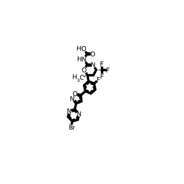 C[C@@]1(c2cc(-c3cc(-c4ncc(Br)cn4)no3)ccc2F)C[C@@H](C(F)(F)F)N=C(NC(=O)O)O1